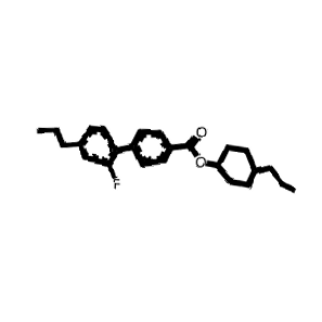 CCCc1ccc(-c2ccc(C(=O)OC3CCC(CCC)CC3)cc2)c(F)c1